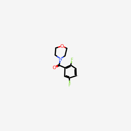 O=C(c1cc(F)[c]cc1F)N1CCOCC1